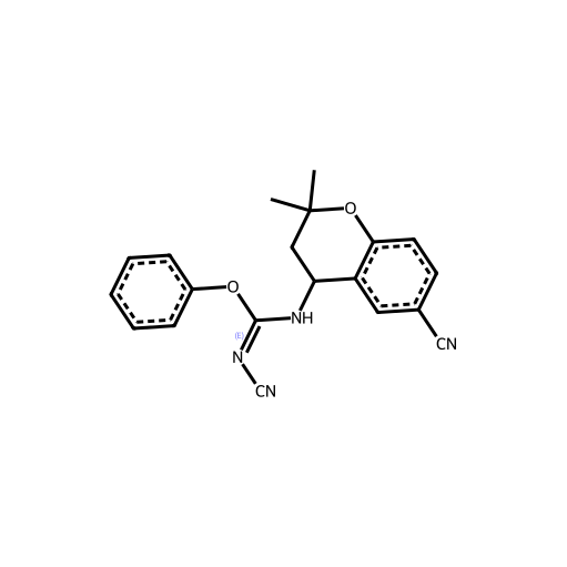 CC1(C)CC(N/C(=N\C#N)Oc2ccccc2)c2cc(C#N)ccc2O1